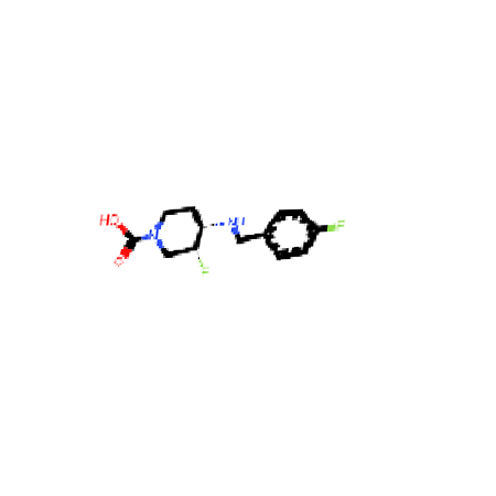 O=C(O)N1CC[C@H](NCc2ccc(F)cc2)[C@H](F)C1